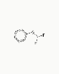 FC(F)Sc1c[c]ccc1